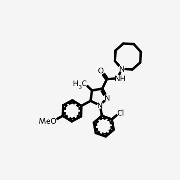 COc1ccc(C2C(C)C(C(=O)NN3CCCCCCC3)=NN2c2ccccc2Cl)cc1